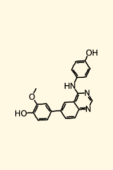 COc1cc(-c2ccc3ncnc(Nc4ccc(O)cc4)c3c2)ccc1O